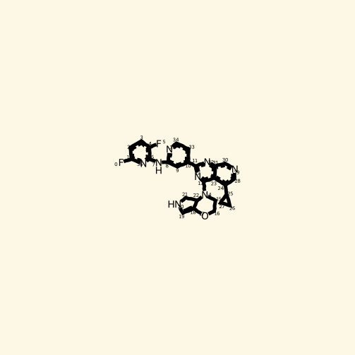 Fc1ccc(F)c(Nc2cc(-c3nc(N4CCOC5=CNCC54)c4c(C5CC5)cncc4n3)ccn2)n1